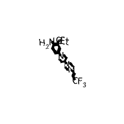 CCOc1cc(N2CCC(N3CCN(CCC(F)(F)F)CC3)CC2)ccc1N